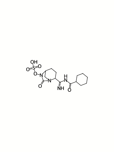 N=C(NC(=O)C1CCCCC1)C1CCC2CN1C(=O)N2OS(=O)(=O)O